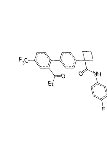 CCC(=O)c1cc(C(F)(F)F)ccc1-c1ccc(C2(C(=O)Nc3ccc(F)cc3)CCC2)cc1